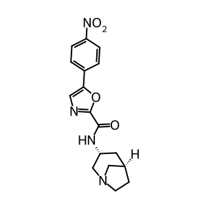 O=C(N[C@@H]1C[C@H]2CCN(C2)C1)c1ncc(-c2ccc([N+](=O)[O-])cc2)o1